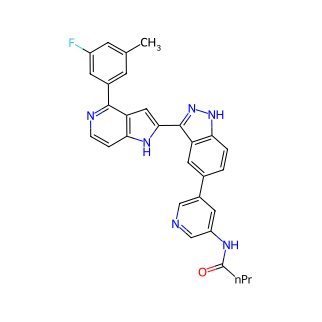 CCCC(=O)Nc1cncc(-c2ccc3[nH]nc(-c4cc5c(-c6cc(C)cc(F)c6)nccc5[nH]4)c3c2)c1